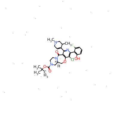 CC1CN(C)CC=C1c1nc(-c2c(O)cccc2F)c(Cl)c2c1C(=O)N1CCN(C(=O)OC(C)(C)C)C[C@@H]1CO2